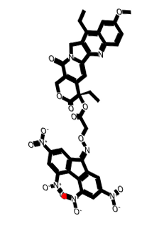 CCc1c2c(nc3ccc(OC)cc13)-c1cc3c(c(=O)n1C2)COC(=O)[C@@]3(CC)OC(=O)CON=C1c2cc([N+](=O)[O-])cc([N+](=O)[O-])c2-c2c1cc([N+](=O)[O-])cc2[N+](=O)[O-]